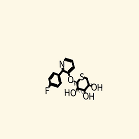 O[C@@H]1[C@@H](O)[C@@H](Oc2cccnc2-c2ccc(F)cc2)SC[C@H]1O